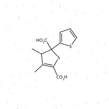 CC1=C(C(=O)O)SC(C(=O)O)(c2cccs2)C1C